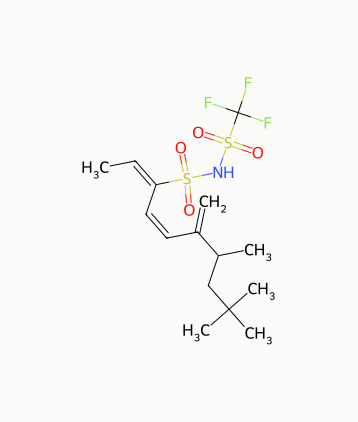 C=C(/C=C\C(=C/C)S(=O)(=O)NS(=O)(=O)C(F)(F)F)C(C)CC(C)(C)C